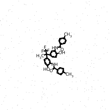 Cc1ccc(C(=O)Nc2cc(C(C)(c3ccc(O)c(NC(=O)c4ccc(C)cc4)c3)C(F)(F)F)ccc2O)cc1